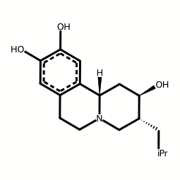 CC(C)C[C@@H]1CN2CCc3cc(O)c(O)cc3[C@@H]2C[C@H]1O